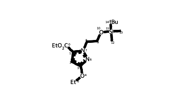 CCOC(=O)c1cc(OCC)nn1CCO[Si](C)(C)C(C)(C)C